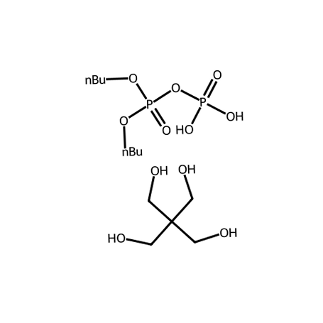 CCCCOP(=O)(OCCCC)OP(=O)(O)O.OCC(CO)(CO)CO